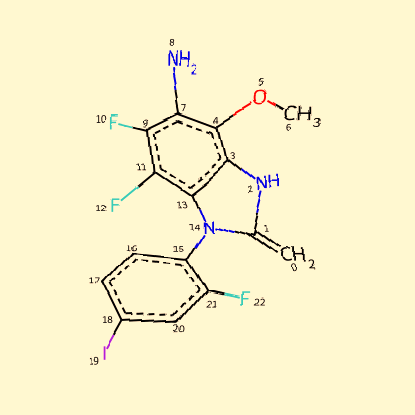 C=C1Nc2c(OC)c(N)c(F)c(F)c2N1c1ccc(I)cc1F